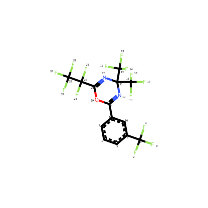 FC(F)(F)c1cccc(C2=NC(C(F)(F)F)(C(F)(F)F)N=C(C(F)(F)C(F)(F)F)O2)c1